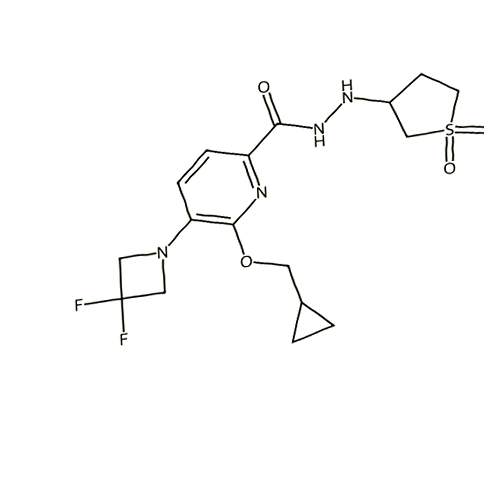 O=C(NNC1CCS(=O)(=O)C1)c1ccc(N2CC(F)(F)C2)c(OCC2CC2)n1